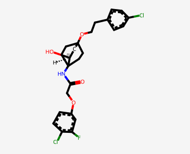 O=C(COc1ccc(Cl)c(F)c1)NC12CCC(OCCc3ccc(Cl)cc3)(CC1)C[C@@H]2O